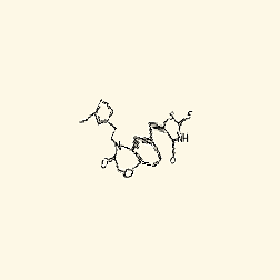 Cc1cccc(CCN2C(=O)COc3ccc(C=C4SC(=S)NC4=O)cc32)c1